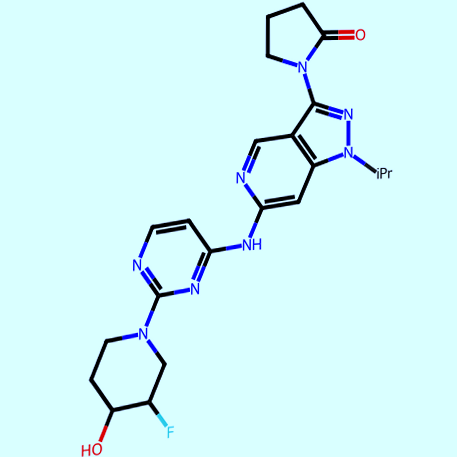 CC(C)n1nc(N2CCCC2=O)c2cnc(Nc3ccnc(N4CCC(O)C(F)C4)n3)cc21